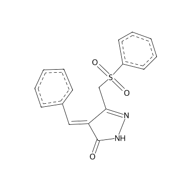 O=C1NN=C(CS(=O)(=O)c2ccccc2)C1=Cc1ccccc1